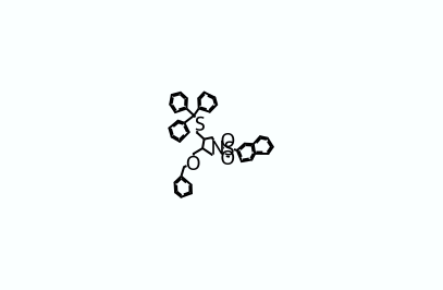 O=S(=O)(c1ccc2ccccc2c1)N1CC(COCc2ccccc2)C(CSC(c2ccccc2)(c2ccccc2)c2ccccc2)C1